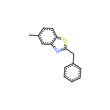 Cc1ccc2sc(Cc3ccccc3)nc2c1